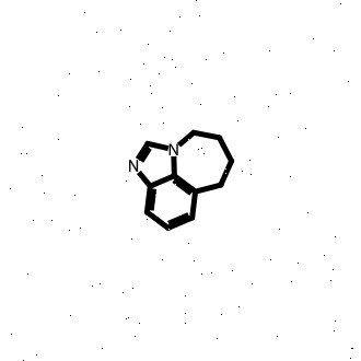 c1cc2c3c(c1)ncn3CCCC2